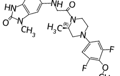 COc1c(F)cc(N2CCN(C(=O)CNc3ccc4[nH]c(=O)n(C)c4c3)[C@H](C)C2)cc1F